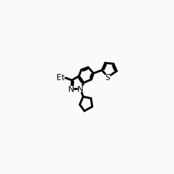 CCc1nn(C2CCCC2)c2cc(-c3cccs3)ccc12